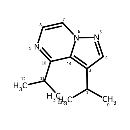 CC(C)c1cnn2ccnc(C(C)C)c12